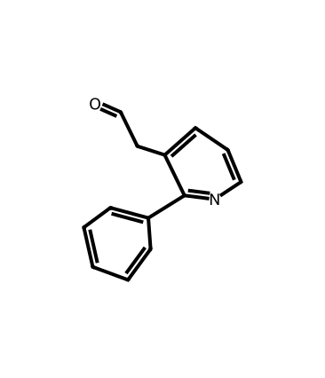 O=CCc1cccnc1-c1ccccc1